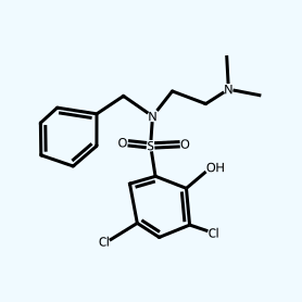 CN(C)CCN(Cc1ccccc1)S(=O)(=O)c1cc(Cl)cc(Cl)c1O